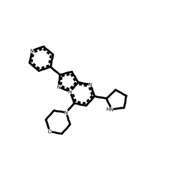 c1cc(-c2cc3nc(C4CCCN4)cc(N4CCOCC4)n3n2)ccn1